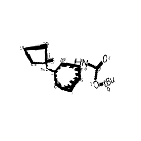 CC(C)(C)OC(=O)Nc1cccc(SC2(C)CCC2)c1